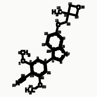 COc1cc(-c2cnc3cc(OCC4(C)COC4)ccn23)cc(OC)c1C#N